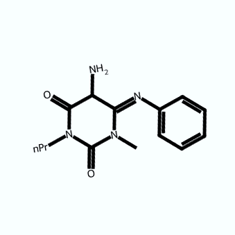 CCCN1C(=O)C(N)C(=Nc2ccccc2)N(C)C1=O